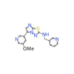 COc1cncc(-c2cnc3sc(NCc4cccnc4)nn23)c1